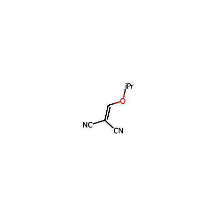 CC(C)OC=C(C#N)C#N